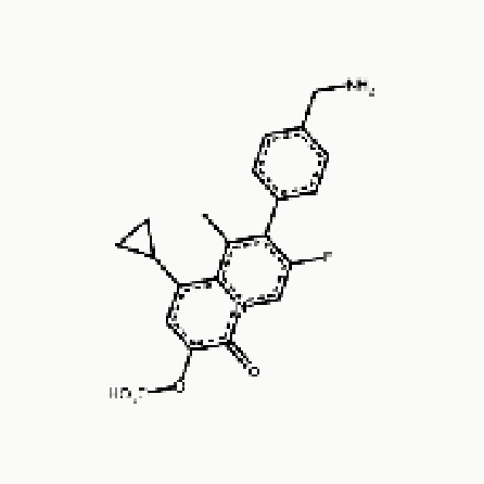 Cc1c(-c2ccc(CN)cc2)c(F)cn2c(=O)c(OC(=O)O)cc(C3CC3)c12